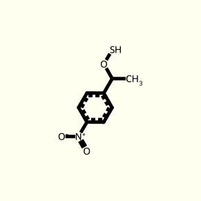 CC(OS)c1ccc([N+](=O)[O-])cc1